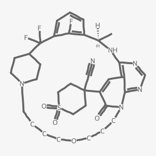 C[C@H]1Nc2ncnc3c2cc(C2(C#N)CCS(=O)(=O)CC2)c(=O)n3CCCOCCCCN2CCC(CC2)C(F)(F)c2cccc1c2F